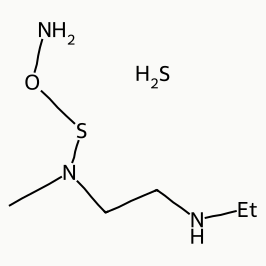 CCNCCN(C)SON.S